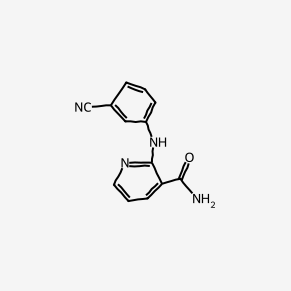 N#Cc1cccc(Nc2ncccc2C(N)=O)c1